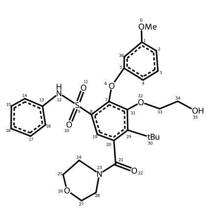 COc1cccc(Oc2c(S(=O)(=O)Nc3ccccc3)cc(C(=O)N3CCOCC3)c(C(C)(C)C)c2OCCO)c1